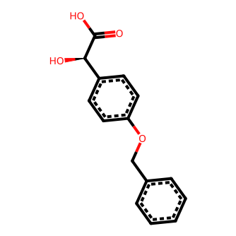 O=C(O)[C@H](O)c1ccc(OCc2ccccc2)cc1